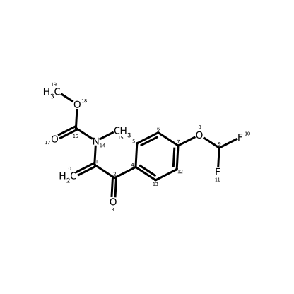 C=C(C(=O)c1ccc(OC(F)F)cc1)N(C)C(=O)OC